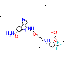 NC(=O)c1ccc2c(c1)nc(NCCOCCCCNCc1ccc(C(F)(F)F)c(OCCO)c1)c1ccncc12